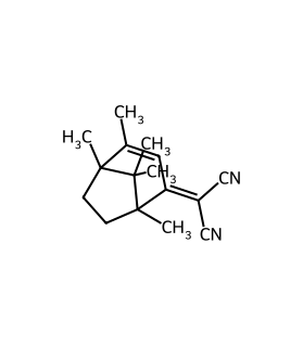 CC1=CC(=C(C#N)C#N)C2(C)CCC1(C)C2(C)C